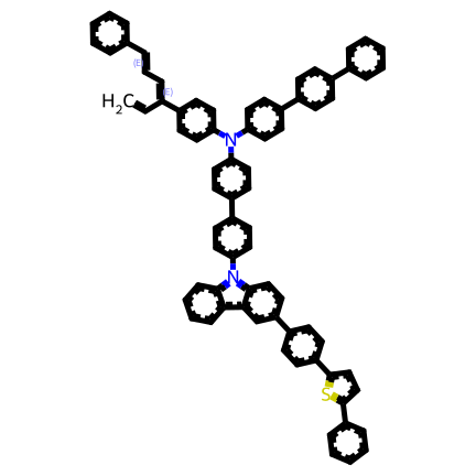 C=C/C(=C\C=C\c1ccccc1)c1ccc(N(c2ccc(-c3ccc(-c4ccccc4)cc3)cc2)c2ccc(-c3ccc(-n4c5ccccc5c5cc(-c6ccc(-c7ccc(-c8ccccc8)s7)cc6)ccc54)cc3)cc2)cc1